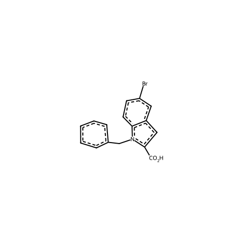 O=C(O)c1cc2cc(Br)ccc2n1Cc1ccccc1